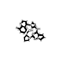 OC[C@@H]1CCCN1c1nc(Nc2cn(-c3ccnc4c(F)cccc34)cn2)c2cccn2n1